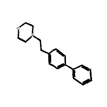 [c]1ccc(-c2ccc(CCN3CCOCC3)cc2)cc1